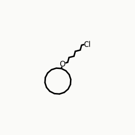 ClCCCCCCOC1CCCCCCCCCCCCCCC1